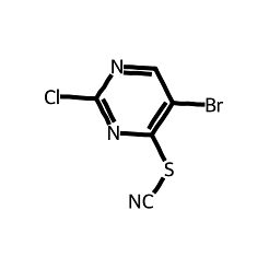 N#CSc1nc(Cl)ncc1Br